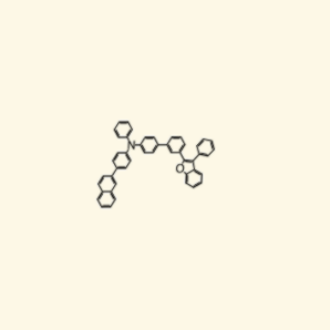 c1ccc(-c2c(-c3cccc(-c4ccc(N(c5ccccc5)c5ccc(-c6ccc7ccccc7c6)cc5)cc4)c3)oc3ccccc23)cc1